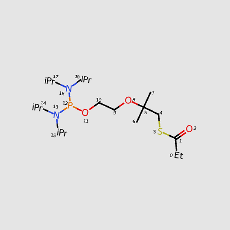 CCC(=O)SCC(C)(C)OCCOP(N(C(C)C)C(C)C)N(C(C)C)C(C)C